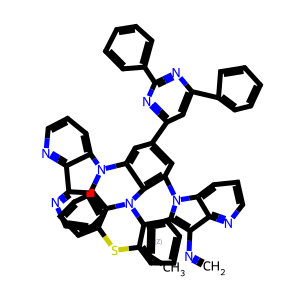 C=Nc1c(/C=C\C)n(-c2cc(-c3cc(-c4ccccc4)nc(-c4ccccc4)n3)cc(-n3c4cccnc4c4ncccc43)c2N2c3ccccc3Sc3ccccc32)c2cccnc12